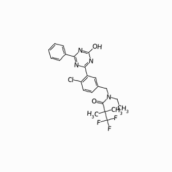 CCN(Cc1ccc(Cl)c(-c2nc(O)nc(-c3ccccc3)n2)c1)C(=O)C(C)(C)C(F)(F)F